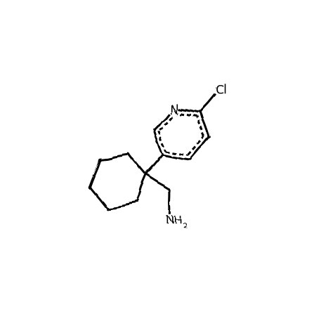 NCC1(c2ccc(Cl)nc2)CCCCC1